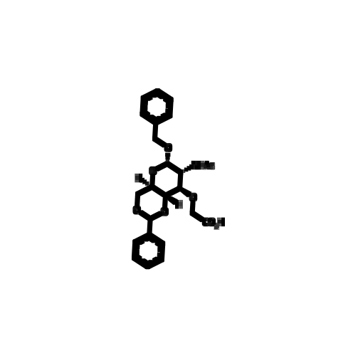 CC(=O)N[C@H]1[C@@H](OCc2ccccc2)O[C@@H]2COC(c3ccccc3)O[C@H]2[C@@H]1OCC(=O)O